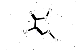 CCO/C=C(/C)C(=O)OCC